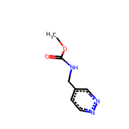 COC(=O)NCc1[c]nncc1